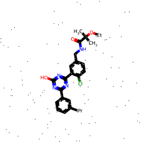 CCOC(C)(C)C(=O)NCc1ccc(Cl)c(-c2nc(O)nc(-c3cccc(C(C)C)c3)n2)c1